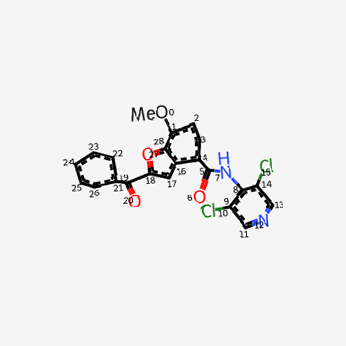 COc1ccc(C(=O)Nc2c(Cl)cncc2Cl)c2cc(C(=O)c3ccccc3)oc12